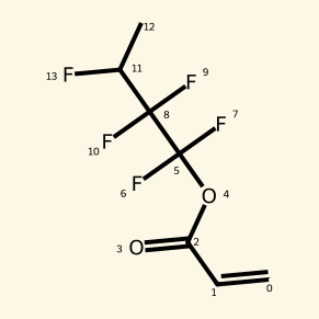 C=CC(=O)OC(F)(F)C(F)(F)C(C)F